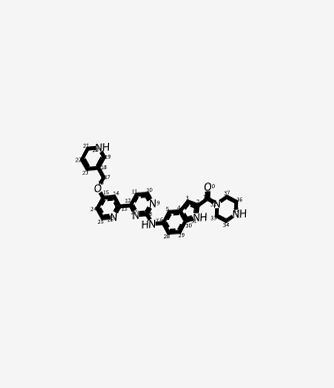 O=C(c1cc2cc(Nc3nccc(-c4cc(OCC5=CNCC=C5)ccn4)n3)ccc2[nH]1)N1CCNCC1